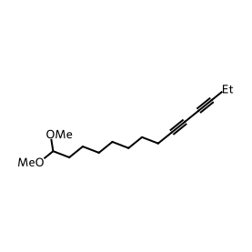 CCC#CC#CCCCCCCCC(OC)OC